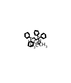 C[Si](C)(C)N=P(CCP(c1ccccc1)c1ccccc1)(c1ccccc1)c1ccccc1